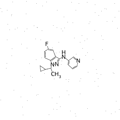 CC(C1CC1)n1nc(Nc2cccnc2)c2cc(F)ccc21